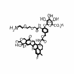 CC[C@@]1(O)C(=O)OCc2c1cc1n(c2=O)Cc2c-1nc1cc(F)c(C)c3c1c2[C@@H](NC(=O)OCc1ccc(O[C@@H]2O[C@H](C(=O)O)[C@@H](O)[C@H](O)[C@H]2O)c(NC(=O)COCCOCCN)c1)CC3